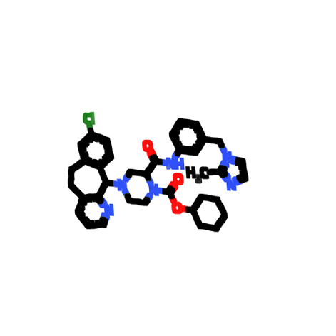 Cc1nccn1Cc1cccc(NC(=O)C2CN(C3c4ccc(Cl)cc4CCc4cccnc43)CCN2C(=O)OC2CCCCC2)c1